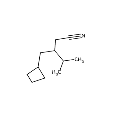 CC(C)C(CC#N)CC1CCC1